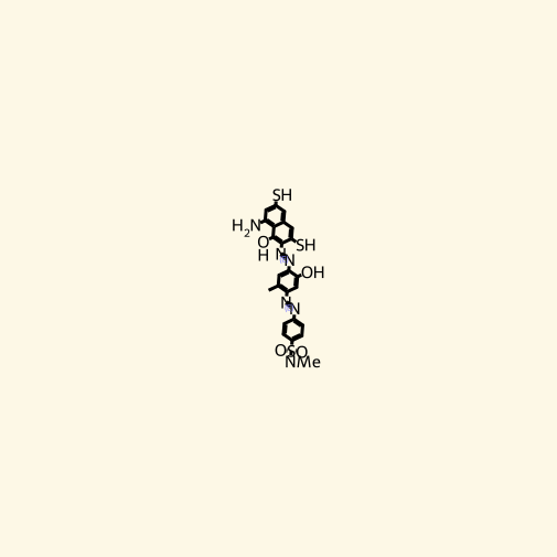 CNS(=O)(=O)c1ccc(/N=N/c2cc(O)c(/N=N/c3c(S)cc4cc(S)cc(N)c4c3O)cc2C)cc1